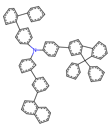 c1ccc(-c2ccccc2-c2ccc(N(c3ccc(-c4ccc5c(c4)C(c4ccccc4)(c4ccccc4)c4ccccc4-5)cc3)c3cccc(-c4cccc(-c5cccc6ccccc56)c4)c3)cc2)cc1